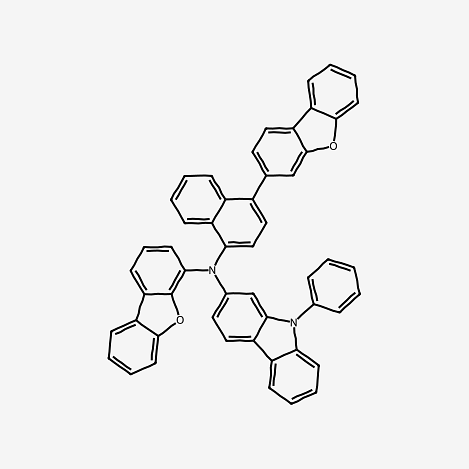 c1ccc(-n2c3ccccc3c3ccc(N(c4ccc(-c5ccc6c(c5)oc5ccccc56)c5ccccc45)c4cccc5c4oc4ccccc45)cc32)cc1